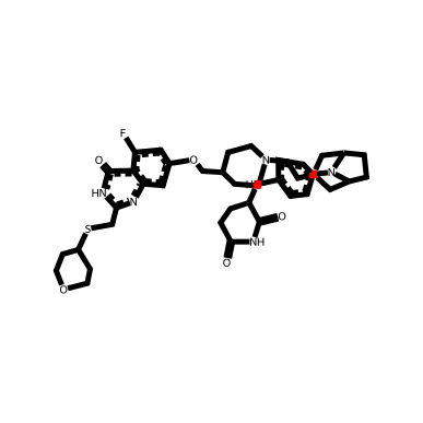 O=C1CCC(Nc2ccc(N3C4CCC3CN(CCN3CCC(COc5cc(F)c6c(=O)[nH]c(CSC7CCOCC7)nc6c5)CC3)C4)cc2)C(=O)N1